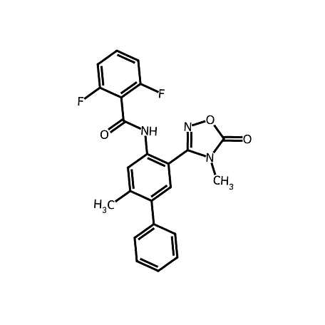 Cc1cc(NC(=O)c2c(F)cccc2F)c(-c2noc(=O)n2C)cc1-c1ccccc1